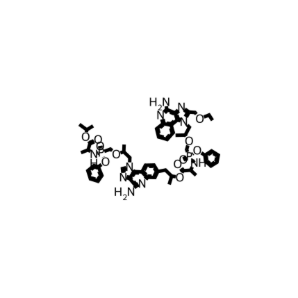 CCOCc1nc2c(N)nc3ccccc3c2n1CC(C)OCP(=O)(NC(C)C(=O)OC(C)Cc1ccc2c(c1)nc(N)c1ncn(CC(C)OCP(=O)(NC(C)C(=O)OC(C)C)Oc3ccccc3)c12)Oc1ccccc1